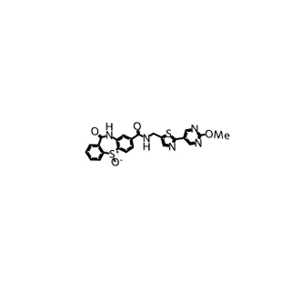 COc1ncc(-c2ncc(CNC(=O)c3ccc4c(c3)NC(=O)c3ccccc3[S+]4[O-])s2)cn1